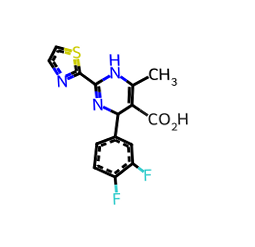 CC1=C(C(=O)O)C(c2ccc(F)c(F)c2)N=C(c2nccs2)N1